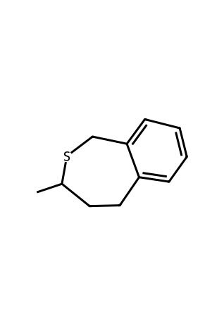 CC1CCc2ccccc2CS1